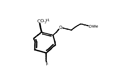 COCCOc1cc(F)ccc1C(=O)O